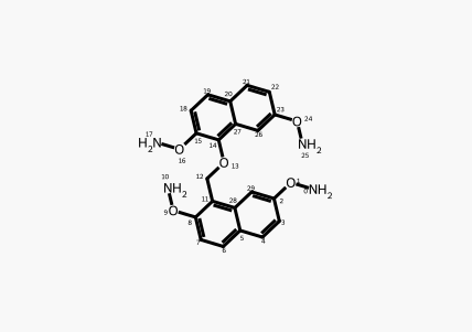 NOc1ccc2ccc(ON)c(COc3c(ON)ccc4ccc(ON)cc34)c2c1